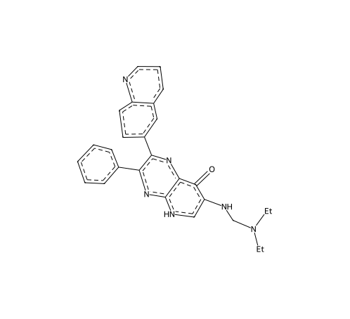 CCN(CC)CNc1c[nH]c2nc(-c3ccccc3)c(-c3ccc4ncccc4c3)nc2c1=O